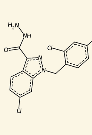 Cc1ccc(Cn2nc(C(=O)NN)c3ccc(Cl)cc32)c(Cl)c1